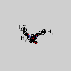 C=CC(=O)OCCOc1ccc2cc(/C(C)=N/c3ccc(C4(c5ccc(/N=C(\C)c6ccc7cc(OCCOC(=O)C=C)ccc7c6)c(S)c5)c5ccccc5-c5cc6ccccc6cc54)cc3S)ccc2c1